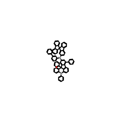 c1ccc(-c2cccc(N(c3ccc4c(c3)C3(c5ccccc5-c5ccccc53)c3ccccc3-4)c3cc(-c4ccccc4)c4c(c3)C3(c5ccccc5)c5ccccc5N(c5ccccc5)c5cccc-4c53)c2)cc1